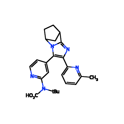 Cc1cccc(-c2nc3n(c2-c2ccnc(N(C(=O)O)C(C)(C)C)c2)C2CCC3C2)n1